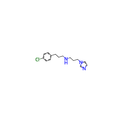 Clc1ccc(CCCNCCCn2ccnc2)cc1